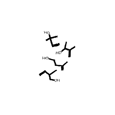 C=C(C)C(C)O.C=C(C)CCO.C=CC(C)(C)O.C=CC(C)CO